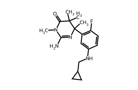 CN1C(=O)C(C)(C)C(C)(c2cc(NCC3CC3)ccc2F)N=C1N